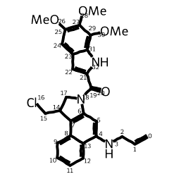 C=CCNc1cc2c(c3ccccc13)C(CCl)CN2C(=O)c1cc2cc(OC)c(OC)c(OC)c2[nH]1